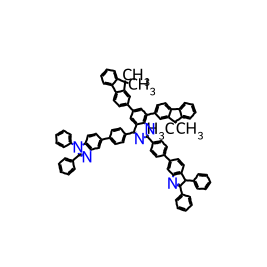 CC1(C)c2ccccc2-c2ccc(-c3cc(-c4ccc5c(c4)C(C)(C)c4ccccc4-5)c4nc(-c5ccc(-c6ccc7c(c6)N=C(c6ccccc6)C7c6ccccc6)cc5)nc(-c5ccc(-c6ccc7c(c6)nc(-c6ccccc6)n7-c6ccccc6)cc5)c4c3)cc21